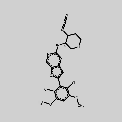 COc1cc(OC)c(Cl)c(-c2cc3cc(N[C@@H]4COCCC4N=[N+]=[N-])ncc3o2)c1Cl